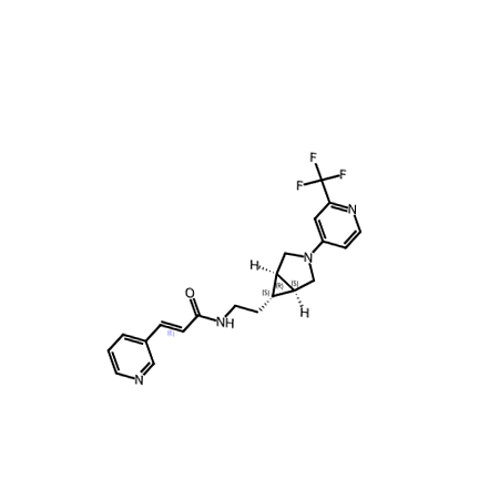 O=C(/C=C/c1cccnc1)NCC[C@@H]1[C@H]2CN(c3ccnc(C(F)(F)F)c3)C[C@@H]12